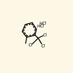 Cc1ccccc1C(Cl)(Cl)Cl.Cl.Cl